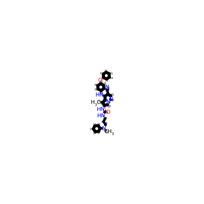 Cc1c(NC(=O)NCCCN(C)c2ccccc2)cn2ncc(C#N)c(Nc3ccc(Oc4ccccc4)cc3)c12